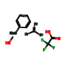 CC(C)[SiH](C(C)C)C(C)C.CO.COc1ccccc1.O=C(O)C(F)(F)F